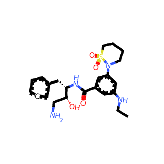 CCNc1cc(C(=O)N[C@@H](Cc2ccccc2)[C@H](O)CN)cc(N2CCCCS2(=O)=O)c1